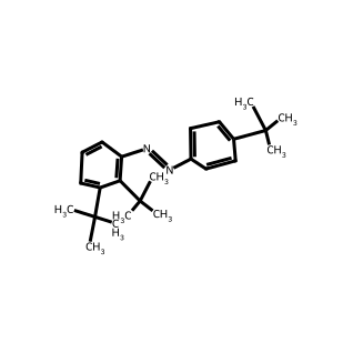 CC(C)(C)c1ccc(/N=N/c2cccc(C(C)(C)C)c2C(C)(C)C)cc1